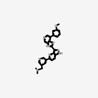 COc1cccc(-c2cncc3[nH]c(-c4n[nH]c5ccc(-c6cncc(CN(C)C)c6)nc45)nc23)c1